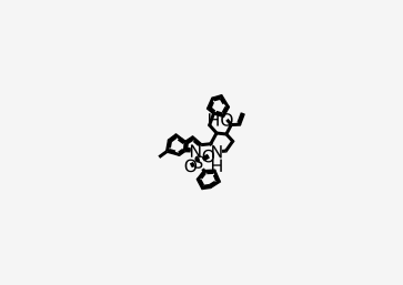 C=CC(O)C1CCNC(c2cc3ccc(C)cc3n2S(=O)(=O)c2ccccc2)C1Cc1ccccc1